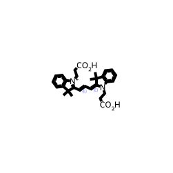 CC1(C)C(/C=C/C=C2/N(CCC(=O)O)c3ccccc3C2(C)C)=[N+](CCC(=O)O)c2ccccc21